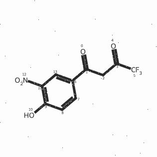 O=C(CC(=O)C(F)(F)F)c1ccc(O)c([N+](=O)[O-])c1